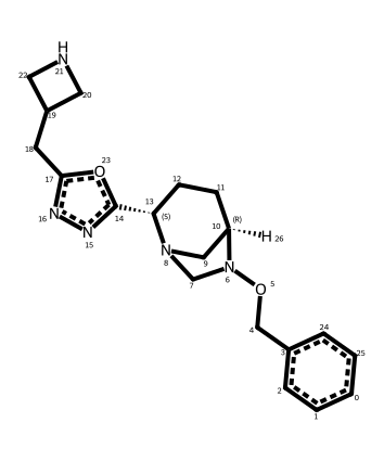 c1ccc(CON2CN3C[C@H]2CC[C@H]3c2nnc(CC3CNC3)o2)cc1